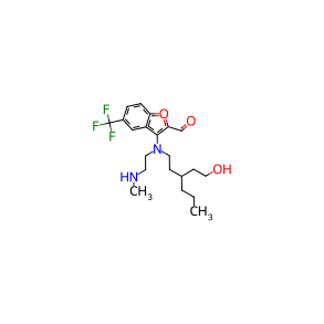 CCCC(CCO)CCN(CCNC)c1c(C=O)oc2ccc(C(F)(F)F)cc12